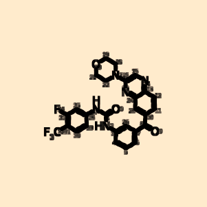 O=C(Nc1cccc(C(=O)c2ccc3ncc(N4CCOCC4)nc3c2)c1)Nc1ccc(C(F)(F)F)c(F)c1